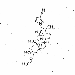 CCOC[C@@]1(O)CC[C@@]2(C)[C@H](CC[C@@H]3[C@@H]2CC[C@]2(C)[C@@H]([C@H](C)Cn4ccc(C#N)n4)CC[C@@H]32)C1